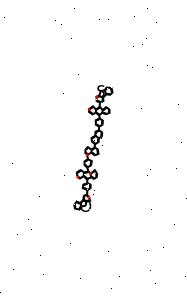 c1ccc2c(c1)oc1ccc(-c3ccc(-c4c5ccccc5c(-c5ccc(-c6cccc7c(-c8ccc9cc(-c%10ccc(-c%11c%12ccccc%12c(-c%12ccc%13sc%14ccccc%14c%13c%12)c%12ccccc%11%12)cc%10)ccc9c8)cccc67)cc5)c5ccccc45)cc3)cc12